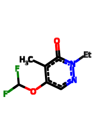 CCn1ncc(OC(F)F)c(C)c1=O